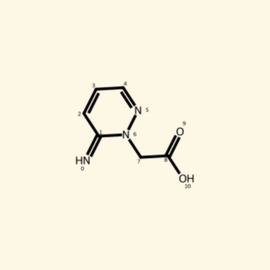 N=c1cccnn1CC(=O)O